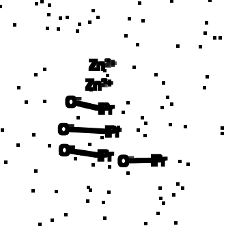 CC(C)[O-].CC(C)[O-].CC(C)[O-].CC(C)[O-].[Zn+2].[Zn+2]